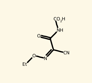 CCON=C(C#N)C(=O)NC(=O)O